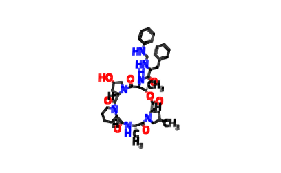 C[C@@H]1C[C@H]2C(=O)O[C@@H](C)[C@H](NC(=O)[C@H](Cc3ccccc3)NCNc3ccccc3)C(=O)N3C[C@H](O)C[C@H]3C(=O)N3CCCC[C@H]3C(=O)N[C@@H](C)C(=O)N2C1